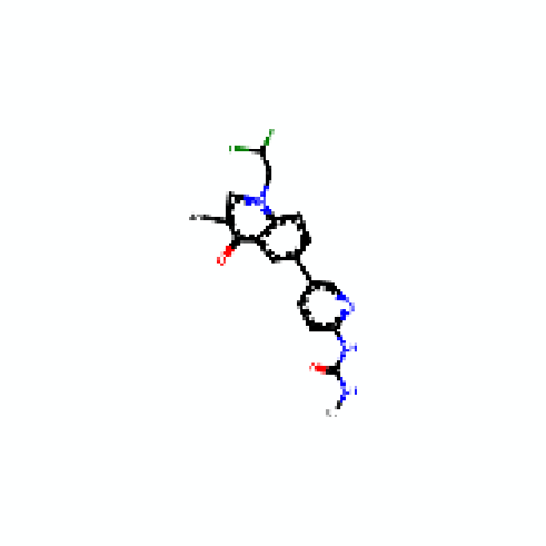 CCNC(=O)Nc1ccc(-c2ccc3c(c2)c(=O)c(C(C)=O)cn3CC(F)F)cn1